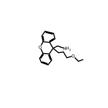 CCOCCCC1(CN)c2ccccc2Oc2ccccc21